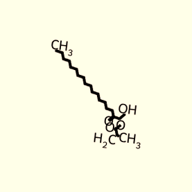 C=C(C)C(=O)OC(CO)C(=O)CCCCCCCCCCCCCCCCC